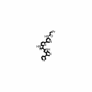 CC(C)CC(=O)Nc1cncc(-c2ccc3[nH]nc(-c4cc5c(-c6cccnc6)cncc5[nH]4)c3n2)c1